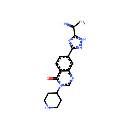 CC(=N)c1nc(-c2ccc3c(=O)n(C4CCNCC4)cnc3c2)n[nH]1